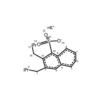 CC(C)Cc1cc2ccccc2c(S(=O)(=O)[O-])c1CC(C)C.[K+]